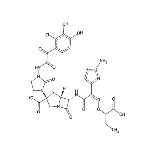 CCC(O/N=C(\C(=O)N[C@@H]1C(=O)N2C[C@@](C(=O)O)(N3CCN(NC(=O)C(=O)c4ccc(O)c(O)c4Cl)C3=O)S[C@H]12)c1csc(N)n1)C(=O)O